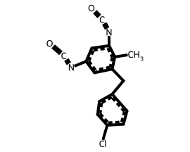 Cc1c(Cc2ccc(Cl)cc2)cc(N=C=O)cc1N=C=O